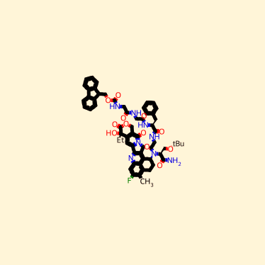 CC[C@@]1(O)C(=O)OCc2c1cc1n(c2=O)Cc2c-1nc1cc(F)c(C)c3c1c2[C@@H](N(C(=O)CNC(=O)[C@H](Cc1ccccc1)NC(=O)CNC(=O)CNC(=O)OCC1c2ccccc2-c2ccccc21)[C@@H](COC(C)(C)C)C(N)=O)CC3